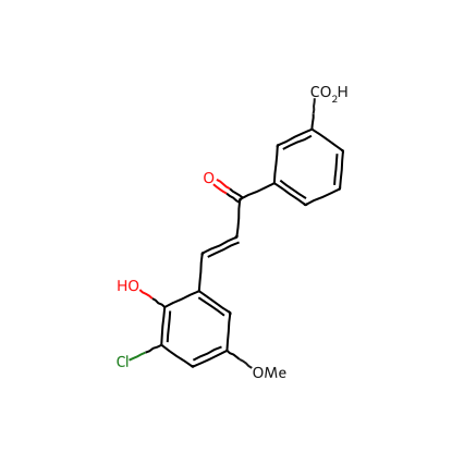 COc1cc(Cl)c(O)c(C=CC(=O)c2cccc(C(=O)O)c2)c1